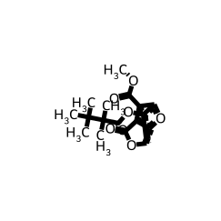 COC(=O)c1c2c3oc1c(OC(=O)C(C)(C)C(C)(C)C)c3OC2=O